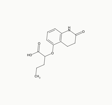 CCCC(Oc1cccc2c1CCC(=O)N2)C(=O)O